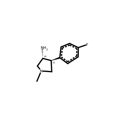 CN1C[C@H](c2ccc(F)cc2)[C@@H](N)C1